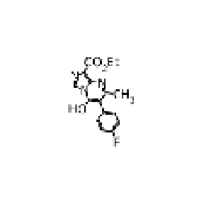 CCOC(=O)c1ncn2c(O)c(-c3ccc(F)cc3)c(C)nc12